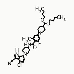 CCCCOC(OCCCC)C1CCN(c2cc(C)c(C(=O)NC3CCN(c4ccc(Cl)c5c(C#N)c[nH]c45)CC3)c(F)c2)CC1